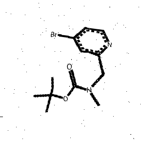 CN(Cc1cc(Br)ccn1)C(=O)OC(C)(C)C